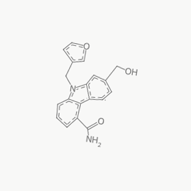 NC(=O)c1cccc2c1c1[c]cc(CO)cc1n2Cc1ccoc1